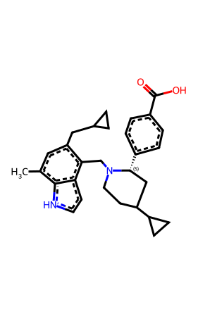 Cc1cc(CC2CC2)c(CN2CCC(C3CC3)C[C@H]2c2ccc(C(=O)O)cc2)c2cc[nH]c12